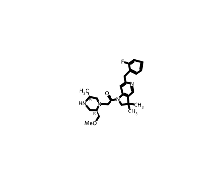 COC[C@H]1CN[C@H](C)CN1CC(=O)N1CC(C)(C)c2cnc(Cc3ccccc3F)cc21